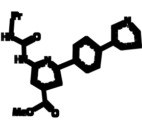 COC(=O)c1cc(NC(=O)NC(C)C)nc(-c2ccc(-c3cccnc3)cc2)c1